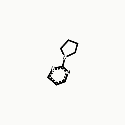 c1cnc(N2CCCC2)nc1